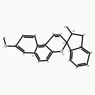 COc1ccc2c3c(ccc2c1)OC1(C=C3)c2ccccc2CC1C